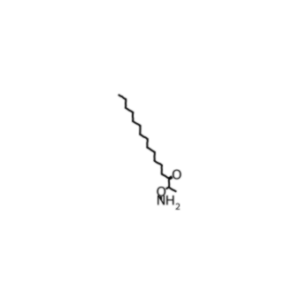 CCCCCCCCCCCCCC(=O)C(C)ON